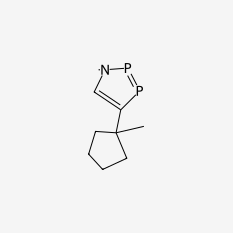 CC1(C2=C[N]P=P2)CCCC1